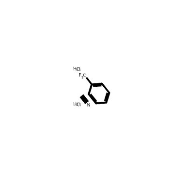 C#N.Cl.Cl.FC(F)(F)c1ccccc1